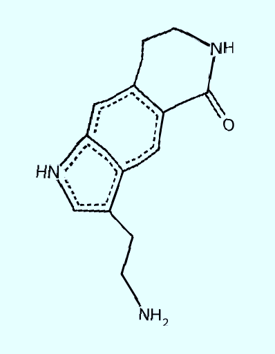 NCCc1c[nH]c2cc3c(cc12)C(=O)NCC3